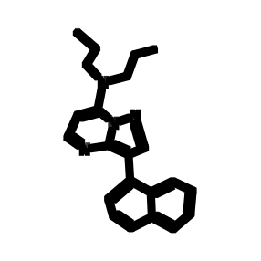 CCCN(CCC)c1ccnc2c(-c3cccc4ccccc34)cnn12